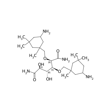 CC1(C)CC(N)CC(C)(CO[C@@H]([C@H](O)[C@H](O)C(N)=O)[C@@H](OCC2(C)CC(N)CC(C)(C)C2)C(N)=O)C1